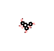 COc1ccc(-c2cc3cc(OC)cc(OC)c3c(=O)c3cc(OC)cc(OC)c23)cc1